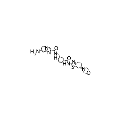 Nc1ccn2cc(C(=O)NCc3cccc(C(=O)Nc4nc5c(s4)C[C@@H](N4CCOCC4)CC5)c3)nc2c1